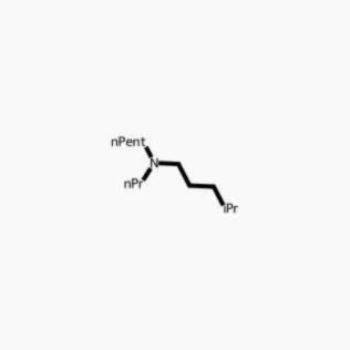 CCCCCN(CCC)CCCC(C)C